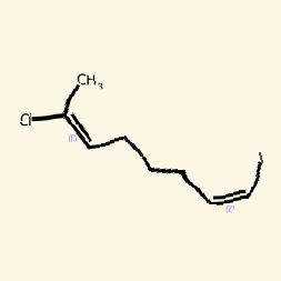 C/C(Cl)=C\CCC/C=C\I